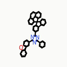 c1ccc(-c2nc(-c3ccc4c(c3)-c3ccccc3C43c4cccc5ccc6cccc3c6c45)nc(-c3ccc4oc5ccccc5c4c3)n2)cc1